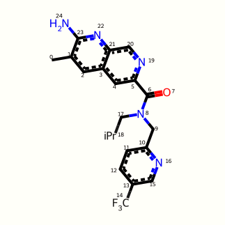 Cc1cc2cc(C(=O)N(Cc3ccc(C(F)(F)F)cn3)CC(C)C)ncc2nc1N